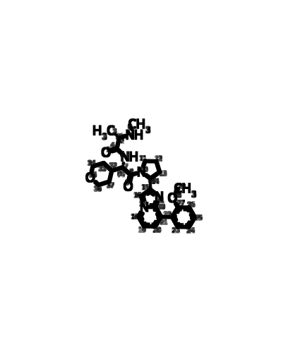 CN[C@@H](C)C(=O)N[C@H](C(=O)N1CCC[C@H]1c1cn2cccc(-c3ccccc3OC)c2n1)C1CCOCC1